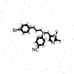 Cc1ncc(CN(CCCc2ccc(Br)cc2)c2ccc(C#N)cc2)n1C